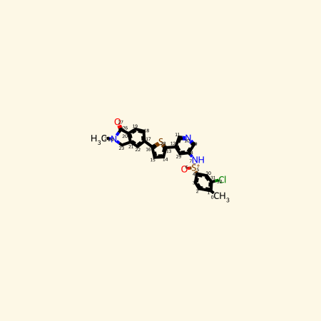 Cc1ccc([S+]([O-])Nc2cncc(-c3ccc(-c4ccc5c(c4)CN(C)C5=O)s3)c2)cc1Cl